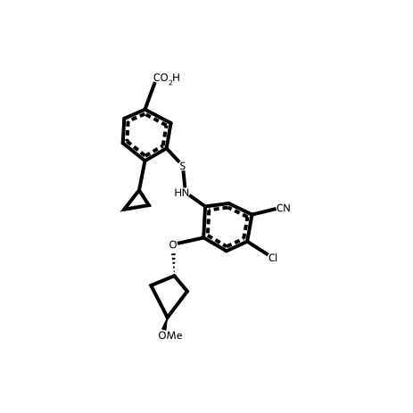 CO[C@H]1C[C@H](Oc2cc(Cl)c(C#N)cc2NSc2cc(C(=O)O)ccc2C2CC2)C1